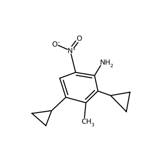 Cc1c(C2CC2)cc([N+](=O)[O-])c(N)c1C1CC1